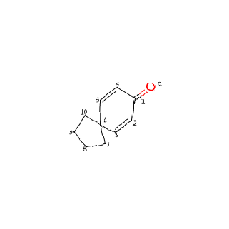 O=C1C=CC2(C=C1)CCCC2